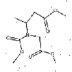 COC(=O)CC(C)N(CC(=O)OC)C(=O)OC